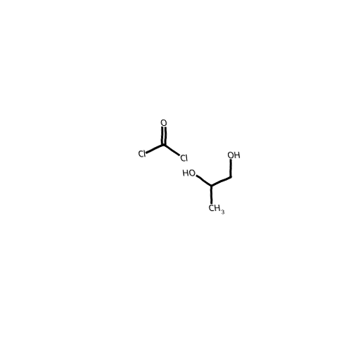 CC(O)CO.O=C(Cl)Cl